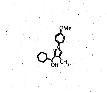 COc1ccc(-n2cc(C)c(C(O)C3CCCCC3)n2)cc1